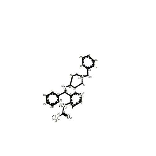 O=C(Nc1ccncc1/C(=N\C1CCN(Cc2ccccc2)CC1)c1ccccc1)C(Cl)(Cl)Cl